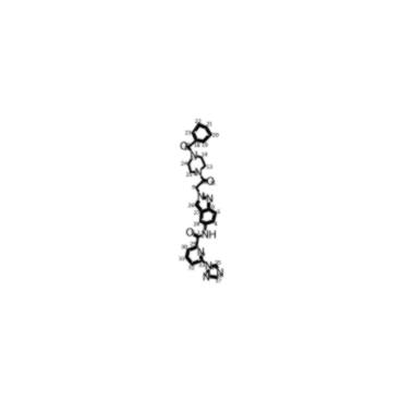 O=C(Nc1ccc2nn(CC(=O)N3CCN(C(=O)c4ccccc4)CC3)cc2c1)c1cccc(-n2cncn2)n1